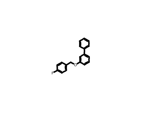 Fc1ccc(COc2[c]ccc(-c3ccccc3)c2)cc1